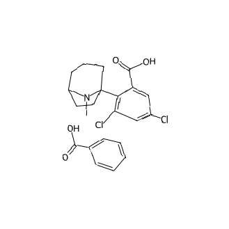 CN1C2CCCC1(c1c(Cl)cc(Cl)cc1C(=O)O)CC2.O=C(O)c1ccccc1